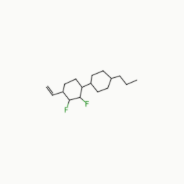 C=CC1CCC(C2CCC(CCC)CC2)C(F)C1F